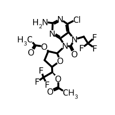 CC(=O)OC1CC([C@@H](OC(C)=O)C(F)(F)F)OC1n1c(=O)n(CC(F)(F)F)c2c(Cl)nc(N)nc21